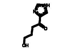 O=C(CCCO)c1c[nH]cn1